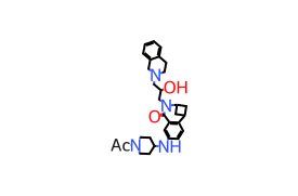 CC(=O)N1CCC(Nc2ccc3c(c2)C(=O)N(CC(O)CN2CCc4ccccc4C2)C2CC3C2)CC1